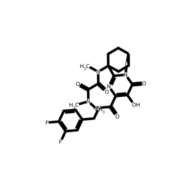 CN(C)C(=O)C(=O)N(C)C12CCC(CC1)Cn1c2nc(C(=O)NCc2ccc(F)c(F)c2)c(O)c1=O